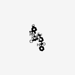 COc1ccc(CNc2nc(Cl)cc(N3C[C@H](C(=O)NC4CCCCC4)CC[C@@H]3C(F)(F)F)n2)c(OC)c1